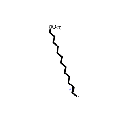 [CH2]/C=C/CCCCCCCCCCCCCCCCCCC